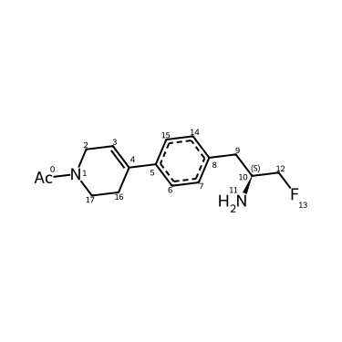 CC(=O)N1CC=C(c2ccc(C[C@H](N)CF)cc2)CC1